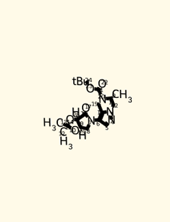 C[C@H]1Cn2ncc(N3C[C@H]4OC(C)(C)O[C@H]4C3=O)c2CN1C(=O)OC(C)(C)C